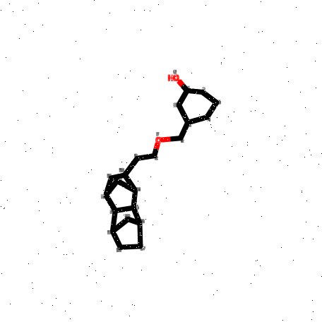 OC1CCCC(COCCC2CC3CC2C2C4CCC(C4)C32)C1